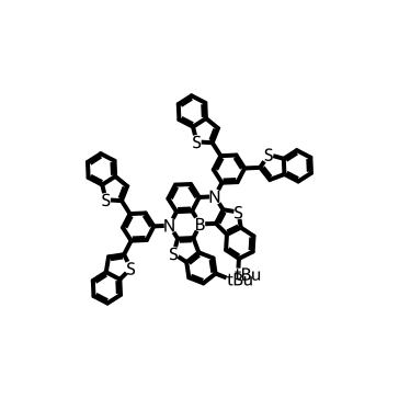 CC(C)(C)c1ccc2sc3c(c2c1)B1c2c(cccc2N(c2cc(-c4cc5ccccc5s4)cc(-c4cc5ccccc5s4)c2)c2sc4ccc(C(C)(C)C)cc4c21)N3c1cc(-c2cc3ccccc3s2)cc(-c2cc3ccccc3s2)c1